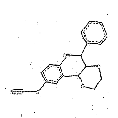 N#CSc1ccc2c(c1)C1OCCOC1C(c1ccccc1)N2